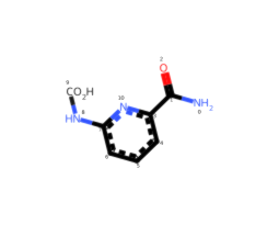 NC(=O)c1cccc(NC(=O)O)n1